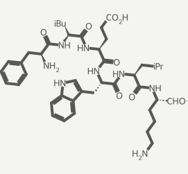 CC[C@H](C)[C@H](NC(=O)[C@@H](N)Cc1ccccc1)C(=O)N[C@@H](CCC(=O)O)C(=O)N[C@@H](Cc1c[nH]c2ccccc12)C(=O)N[C@@H](CC(C)C)C(=O)N[C@H]([C]=O)CCCCN